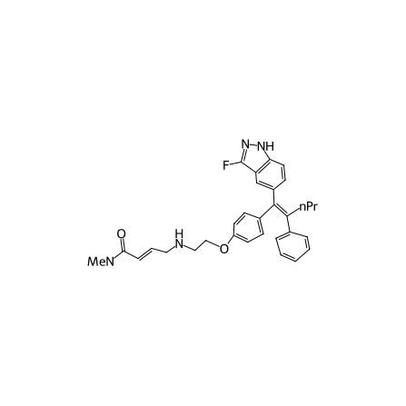 CCC/C(=C(/c1ccc(OCCNC/C=C/C(=O)NC)cc1)c1ccc2[nH]nc(F)c2c1)c1ccccc1